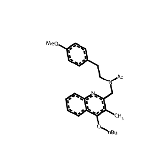 CCCCOc1c(C)c(CN(CCc2ccc(OC)cc2)C(C)=O)nc2ccccc12